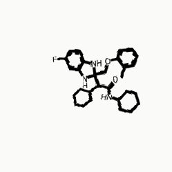 Cc1ccccc1OCC1(C(C(=O)NC2CCCCC2)C2CCCCC2)Nc2ccc(F)cc2N1